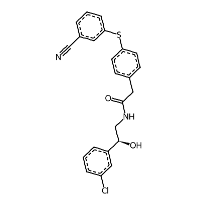 N#Cc1cccc(Sc2ccc(CC(=O)NC[C@@H](O)c3cccc(Cl)c3)cc2)c1